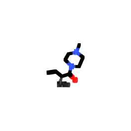 C=C[C@@H](NC)C(=O)N1CCN(C)CC1